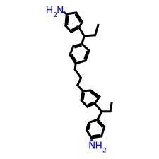 CCC(c1ccc(N)cc1)c1ccc(CCCc2ccc(C(CC)c3ccc(N)cc3)cc2)cc1